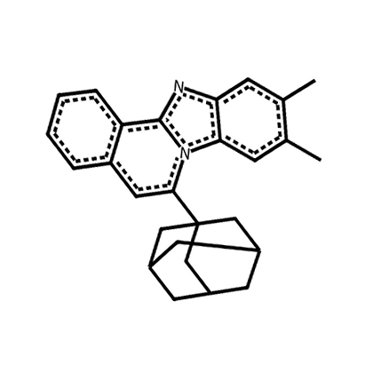 Cc1cc2nc3c4ccccc4cc(C45CC6CC(CC(C6)C4)C5)n3c2cc1C